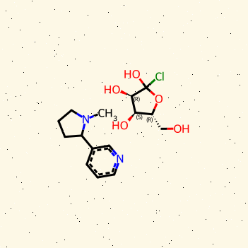 CN1CCCC1c1cccnc1.OC[C@H]1OC(O)(Cl)[C@H](O)[C@@H]1O